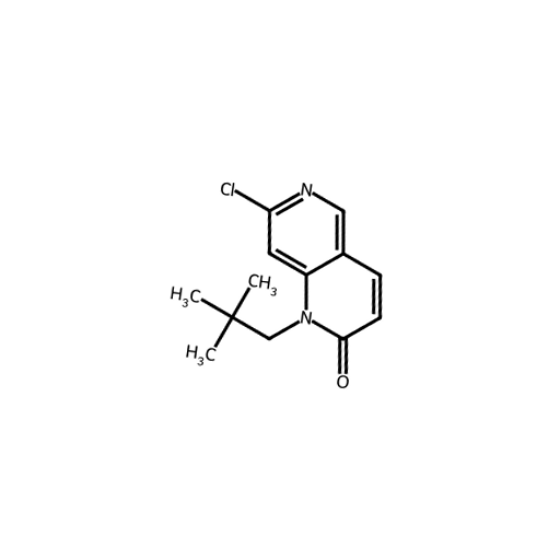 CC(C)(C)Cn1c(=O)ccc2cnc(Cl)cc21